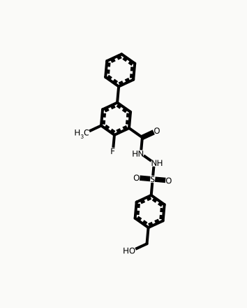 Cc1cc(-c2ccccc2)cc(C(=O)NNS(=O)(=O)c2ccc(CO)cc2)c1F